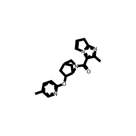 Cc1ccc(OC2CC3CC2N(C(=O)c2c(C)nc4n2C=CC4)C3)nc1